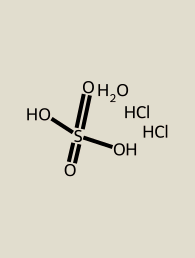 Cl.Cl.O.O=S(=O)(O)O